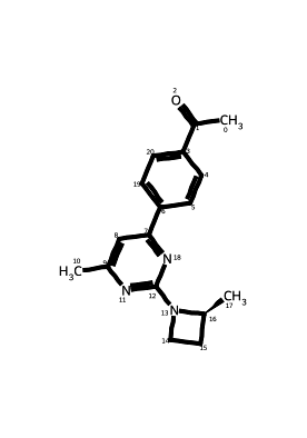 CC(=O)c1ccc(-c2cc(C)nc(N3CC[C@@H]3C)n2)cc1